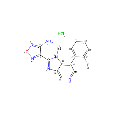 CCn1c(-c2nonc2N)nc2cncc(-c3ccccc3F)c21.Cl